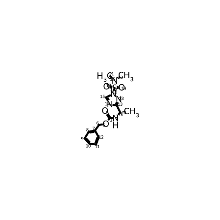 C[C@H](NC(=O)OCc1ccccc1)c1ncn(S(=O)(=O)N(C)C)n1